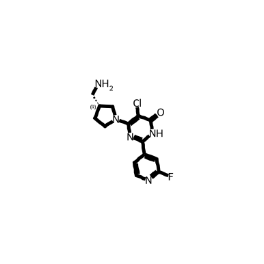 NC[C@H]1CCN(c2nc(-c3ccnc(F)c3)[nH]c(=O)c2Cl)C1